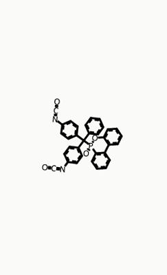 O=C=Nc1ccc(C(c2ccccc2)(c2ccc(N=C=O)cc2)P2(=O)Oc3ccccc3-c3ccccc32)cc1